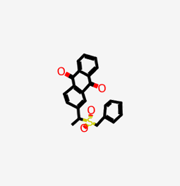 CC(c1ccc2c(c1)C(=O)c1ccccc1C2=O)S(=O)(=O)Cc1ccccc1